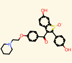 O=C(c1ccc(OCCN2CCCCC2)cc1)c1c(-c2ccc(O)cc2)[s+]([O-])c2cc(O)ccc12